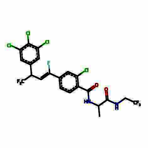 CC(NC(=O)c1ccc(/C(F)=C/C(c2cc(Cl)c(Cl)c(Cl)c2)C(F)(F)F)cc1Cl)C(=O)NCC(F)(F)F